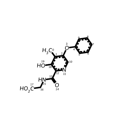 Cc1c(Oc2ccccc2)cnc(C(=O)NCC(=O)O)c1O